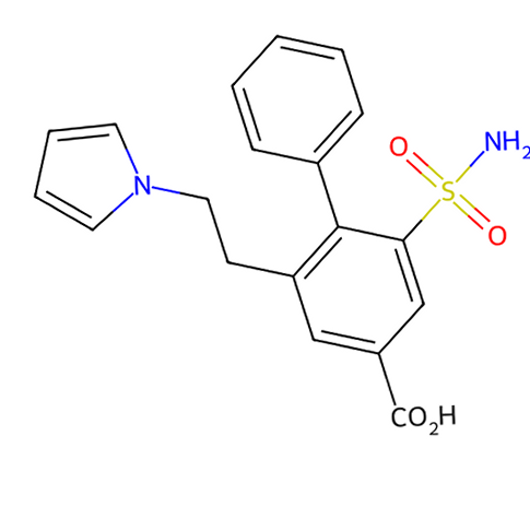 NS(=O)(=O)c1cc(C(=O)O)cc(CCn2cccc2)c1-c1ccccc1